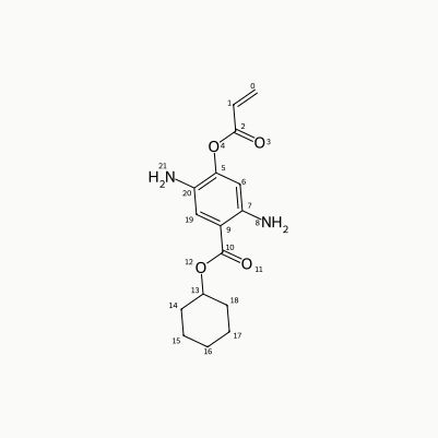 C=CC(=O)Oc1cc(N)c(C(=O)OC2CCCCC2)cc1N